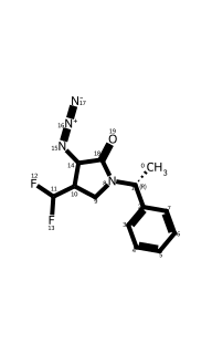 C[C@H](c1ccccc1)N1CC(C(F)F)C(N=[N+]=[N-])C1=O